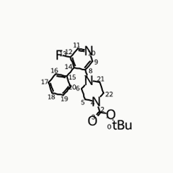 CC(C)(C)OC(=O)N1CCN(c2cncc(F)c2-c2ccccc2)CC1